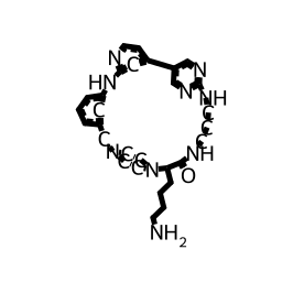 NCCCCC1C(=O)NCCCNc2ncc(cn2)-c2ccnc(c2)Nc2cccc(c2)CN2CCN1CC2